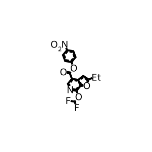 CCc1cc2c(C(=O)Oc3ccc([N+](=O)[O-])cc3)cnc(OC(F)F)c2o1